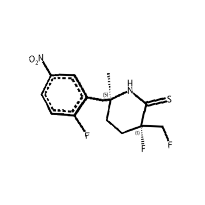 C[C@@]1(c2cc([N+](=O)[O-])ccc2F)CC[C@](F)(CF)C(=S)N1